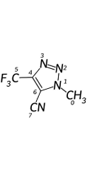 Cn1nnc(C(F)(F)F)c1C#N